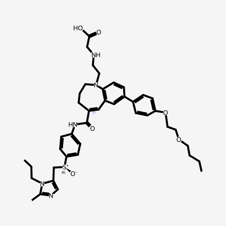 CCCCOCCOc1ccc(-c2ccc3c(c2)/C=C(/C(=O)Nc2ccc([S@@+]([O-])Cc4cnc(C)n4CCC)cc2)CCCN3CCNCC(=O)O)cc1